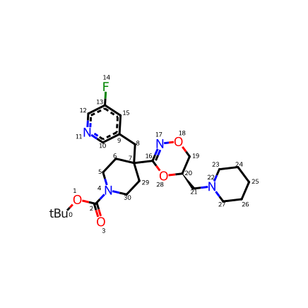 CC(C)(C)OC(=O)N1CCC(Cc2cncc(F)c2)(C2=NOC[C@@H](CN3CCCCC3)O2)CC1